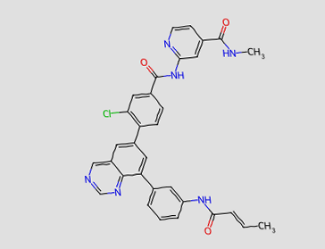 C/C=C/C(=O)Nc1cccc(-c2cc(-c3ccc(C(=O)Nc4cc(C(=O)NC)ccn4)cc3Cl)cc3cncnc23)c1